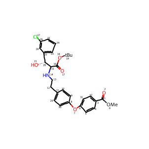 COC(=O)c1ccc(Oc2ccc(CCNC(C(=O)OC(C)(C)C)[C@H](O)c3cccc(Cl)c3)cc2)cc1